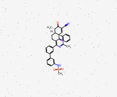 Cc1nc(-c2cccc(-c3cccc(NS(C)(=O)=O)c3)c2)c2c(n1)[C@@]1(c3ccccc3)C=C(C#N)C(=O)[C@@H](C)[C@@H]1CC2